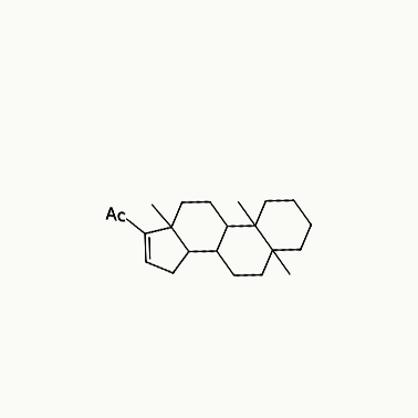 CC(=O)C1=CCC2C3CCC4(C)CCCCC4(C)C3CCC12C